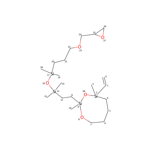 C=C[Si]1(C)CCCCO[Si](C)(CC[Si](C)(C)O[Si](C)(C)CCCOCC2CO2)O1